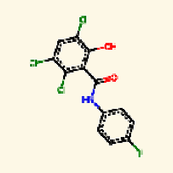 O=C(Nc1ccc(F)cc1)c1c(O)c(Cl)cc(Cl)c1Cl